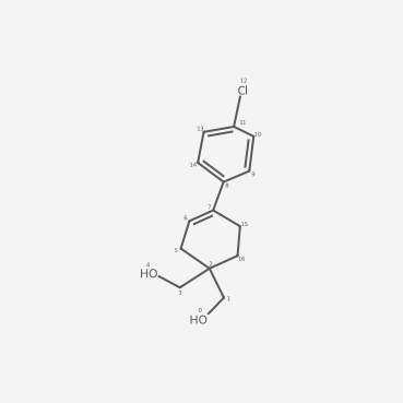 OCC1(CO)CC=C(c2ccc(Cl)cc2)CC1